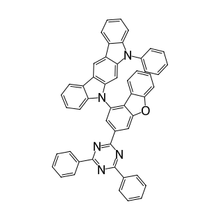 c1ccc(-c2nc(-c3ccccc3)nc(-c3cc(-n4c5ccccc5c5cc6c7ccccc7n(-c7ccccc7)c6cc54)c4c(c3)oc3ccccc34)n2)cc1